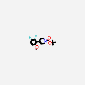 COc1ccc(F)c(F)c1C1=CCN(C(=O)OC(C)(C)C)CC1